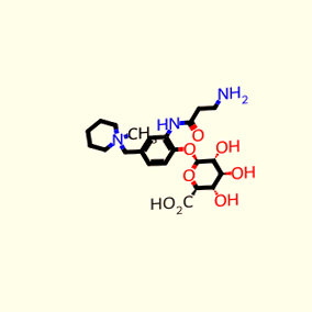 C[N+]1(Cc2ccc(O[C@@H]3O[C@H](C(=O)O)[C@@H](O)[C@H](O)[C@H]3O)c(NC(=O)CCN)c2)CCCCC1